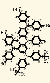 CCC(C)(CC)c1ccc(N(c2ccc(C(C)(CC)CC)cc2)c2cc3c4c(c2)N(c2ccc(C)cc2)c2cc(N(c5ccc(C(C)(C)C)cc5)c5ccc(C(C)(C)C)cc5)ccc2B4c2cc(C(C)(C)C)ccc2N3c2ccc(C(C)(C)C)cc2)cc1